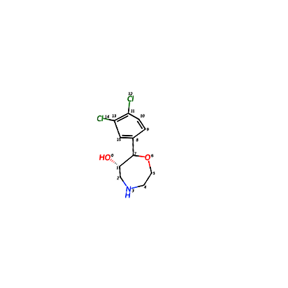 O[C@H]1CNCCOC1c1ccc(Cl)c(Cl)c1